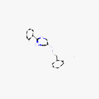 O=C(O)c1ccccc1CCNc1cnc(-c2ccccc2F)nc1